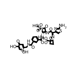 Nc1nc(C(=NOC2(C(=O)O)CCC2)C(=O)N[C@@H]2C(=O)N(S(=O)(=O)O)[C@H]2CNC(=O)c2cccc(C(=O)NCc3cc(=O)c(O)cn3O)c2)cs1